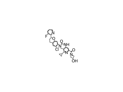 O=C(c1cc2c(c(C3CC3)n1)CN(c1cc3c(cc1Cl)CCC(c1ncccc1F)O3)C(=O)N2)N1CC(O)C1